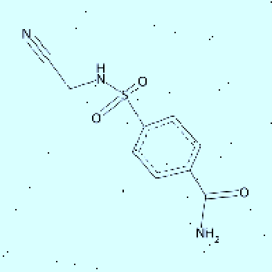 N#CCNS(=O)(=O)c1ccc(C(N)=O)cc1